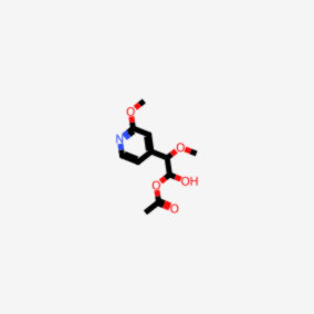 COc1cc(C(OC)C(O)OC(C)=O)ccn1